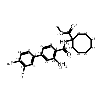 COC(=O)C1(NC(=O)c2ccc(-c3ccc(F)c(F)c3)cc2N)CCCCCCC1